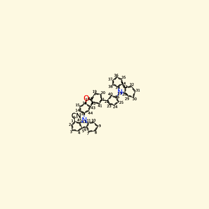 N#Cc1cccc2c3ccccc3n(-c3ccc4oc5ccc(-c6cccc(-n7c8ccccc8c8ccccc87)c6)cc5c4c3)c12